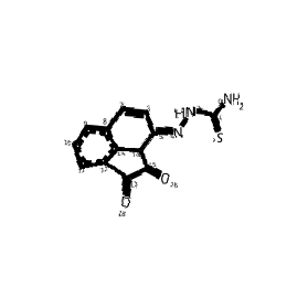 NC(=S)NN=C1C=Cc2cccc3c2C1C(=O)C3=O